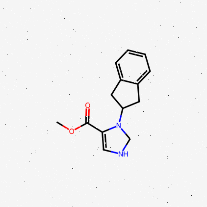 COC(=O)C1=CNCN1C1Cc2ccccc2C1